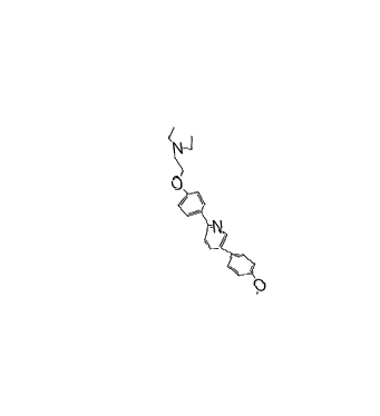 CCN(CC)CCOc1ccc(-c2ccc(-c3ccc(OC)cc3)cn2)cc1